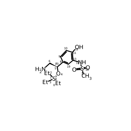 CC[Si](CC)(CC)O[C@@H](CN)c1ccc(O)c(NS(C)(=O)=O)c1